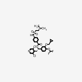 CN(C)CCS(=O)(=O)Nc1ccc(C(=O)O[C@@H](Cc2c(Cl)cncc2Cl)c2ccc(OC(F)F)c(OCC3CC3)c2)cc1